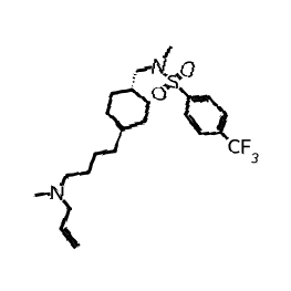 C=CCN(C)CCCC[C@H]1CC[C@H](CN(C)S(=O)(=O)c2ccc(C(F)(F)F)cc2)CC1